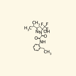 CCc1ccccc1NC(=O)C(=O)N1N=C(C(C)C)CC1(O)C(F)(F)F